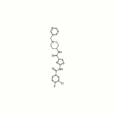 O=C(Nc1nc(C(=O)NC2CCN(Cc3cccnc3)CC2)cs1)c1ccc(F)c(Cl)c1